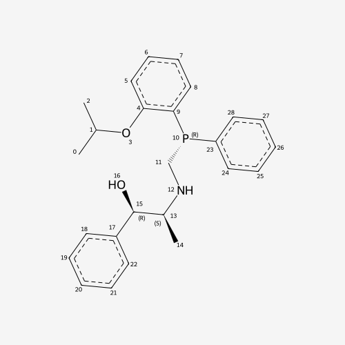 CC(C)Oc1ccccc1[P@@](CN[C@@H](C)[C@H](O)c1ccccc1)c1ccccc1